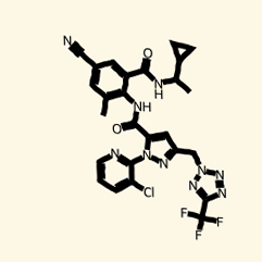 Cc1cc(C#N)cc(C(=O)NC(C)C2CC2)c1NC(=O)c1cc(Cn2nnc(C(F)(F)F)n2)nn1-c1ncccc1Cl